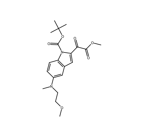 COCCN(C)c1ccc2c(c1)cc(C(=O)C(=O)OC)n2C(=O)OC(C)(C)C